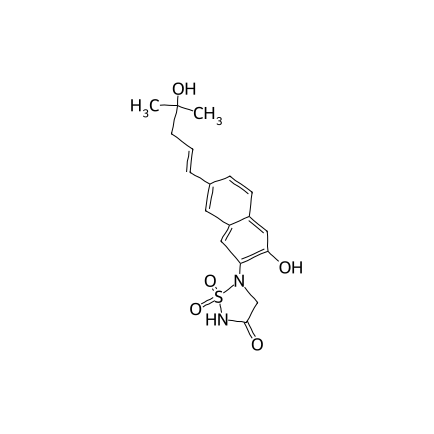 CC(C)(O)CC=Cc1ccc2cc(O)c(N3CC(=O)NS3(=O)=O)cc2c1